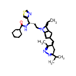 C/C=C1\C2CC(/C=C3/CC(C(C)C)=NN=C3C)CC2N1CC[C@H](NC(=O)C1CCCCC1)c1cscn1